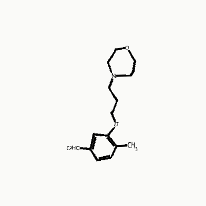 Cc1ccc(C=O)cc1OCCCN1CCOCC1